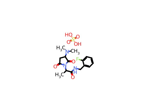 CC(C(=O)NCc1ccccc1F)N1C(=O)CC(N(C)C)C1=O.O=S(=O)(O)O